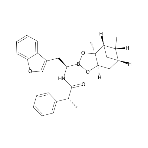 C[C@@H]1[C@@H]2C[C@H]3OB([C@H](Cc4coc5ccccc45)NC(=O)[C@H](C)c4ccccc4)O[C@@]3(C)[C@H]1C2